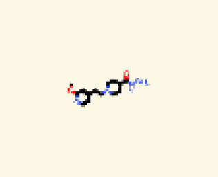 COc1cc(CCN2CCC(C(=O)NN)CC2)ccn1